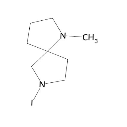 CN1CCCC12CCN(I)C2